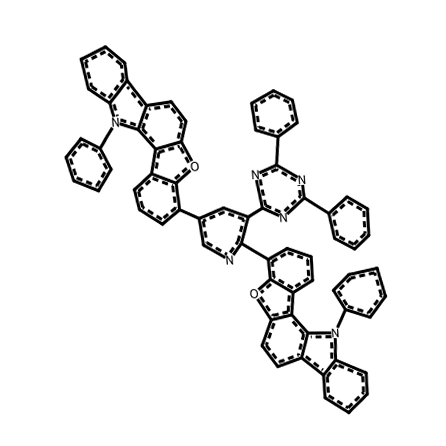 c1ccc(-c2nc(-c3ccccc3)nc(-c3cc(-c4cccc5c4oc4ccc6c7ccccc7n(-c7ccccc7)c6c45)cnc3-c3cccc4c3oc3ccc5c6ccccc6n(-c6ccccc6)c5c34)n2)cc1